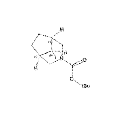 CC(C)(C)OC(=O)N1C[C@H]2CC[C@@H](C1)[C@H]2I